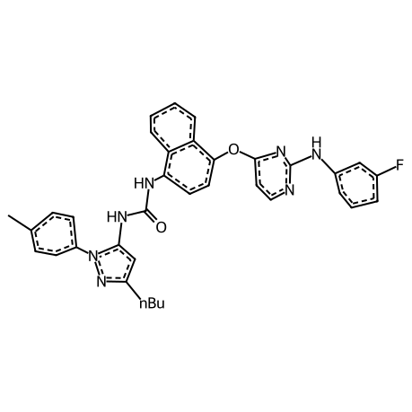 CCCCc1cc(NC(=O)Nc2ccc(Oc3ccnc(Nc4cccc(F)c4)n3)c3ccccc23)n(-c2ccc(C)cc2)n1